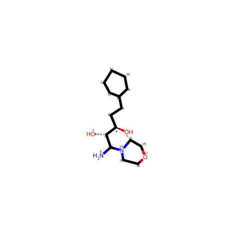 NC([C@H](O)[C@H](O)CCC1CCCCC1)N1CCOCC1